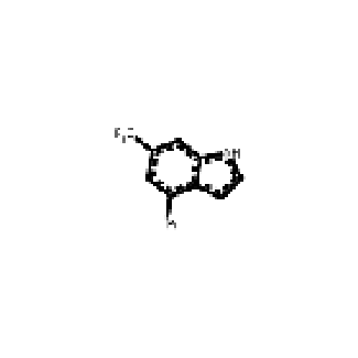 CC(C)c1cc(C(F)(F)F)cc2[nH]ccc12